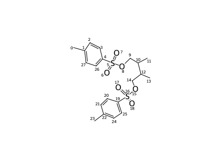 Cc1ccc(S(=O)(=O)OCC(C)C(C)COS(=O)(=O)c2ccc(C)cc2)cc1